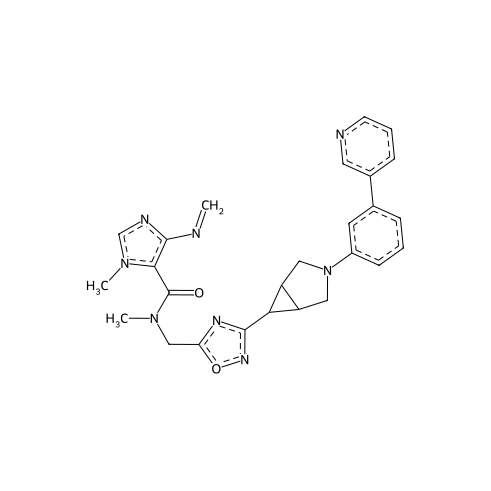 C=Nc1ncn(C)c1C(=O)N(C)Cc1nc(C2C3CN(c4cccc(-c5cccnc5)c4)CC32)no1